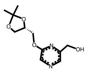 CC1(C)OC[C@@H](COc2cncc(CO)n2)O1